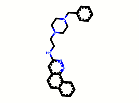 c1ccc(CN2CCN(CCNc3cc4ccc5ccccc5c4nn3)CC2)cc1